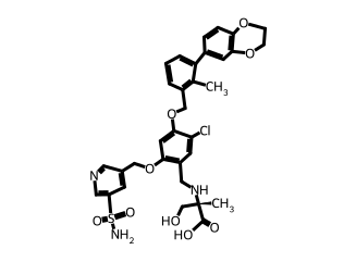 Cc1c(COc2cc(OCc3cncc(S(N)(=O)=O)c3)c(CN[C@@](C)(CO)C(=O)O)cc2Cl)cccc1-c1ccc2c(c1)OCCO2